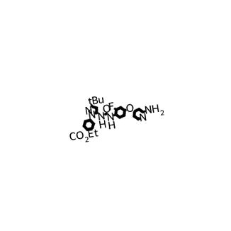 CCOC(=O)c1cccc(-n2nc(C(C)(C)C)cc2NC(=O)Nc2ccc(Oc3ccnc(N)c3)cc2F)c1